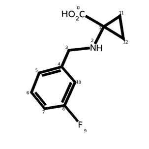 O=C(O)C1(NCc2cc[c]c(F)c2)CC1